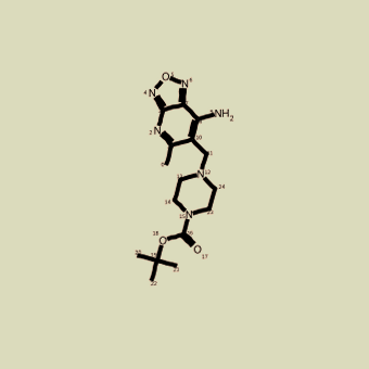 Cc1nc2nonc2c(N)c1CN1CCN(C(=O)OC(C)(C)C)CC1